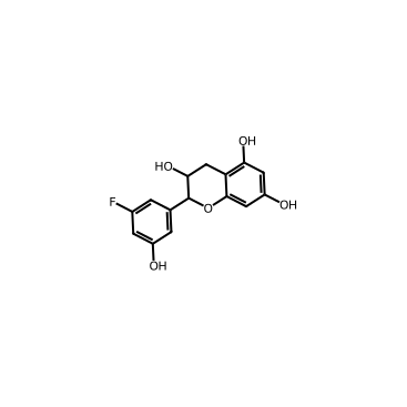 Oc1cc(F)cc(C2Oc3cc(O)cc(O)c3CC2O)c1